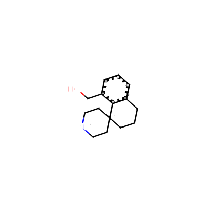 OCc1cccc2c1C1(CCC2)CCNCC1